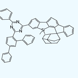 C[Si]1(C)c2cc(-c3nc(-c4ccccc4)nc(-c4ccc(-c5ccccc5)cc4-c4ccccc4)n3)ccc2-c2ccc3c(c21)C1(c2ccccc2-3)C2CC3CC(C2)CC1C3